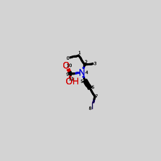 CCC(C)N(C#CCI)C(=O)O